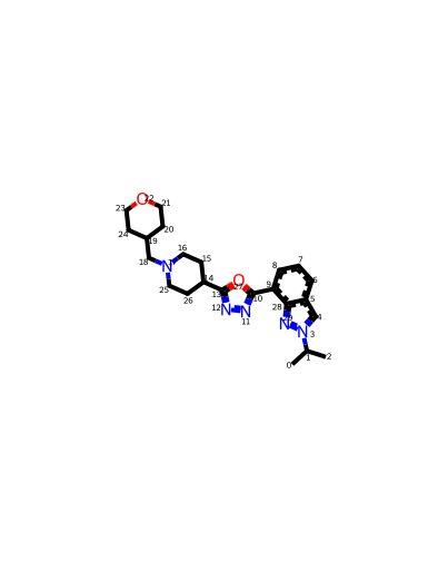 CC(C)n1cc2cccc(-c3nnc(C4CCN(CC5CCOCC5)CC4)o3)c2n1